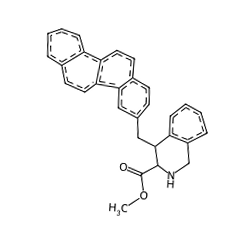 COC(=O)C1NCc2ccccc2C1Cc1ccc2ccc3c4ccccc4ccc3c2c1